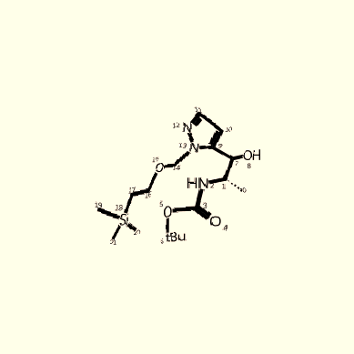 C[C@H](NC(=O)OC(C)(C)C)C(O)c1ccnn1COCC[Si](C)(C)C